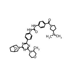 CC1COCCN1c1nc(-c2ccc(NC(=O)Nc3ccc(C(=O)N4CCC(N(C)C)C4)cc3)cc2)nc(N2CC3CCC(C2)O3)n1